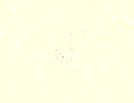 CC1(C)c2cc(-c3cccc(-c4nc(-c5ccccc5)nc(-c5ccc6oc7ccccc7c6c5)n4)c3)ccc2-c2ccc3c(oc4ccccc43)c21